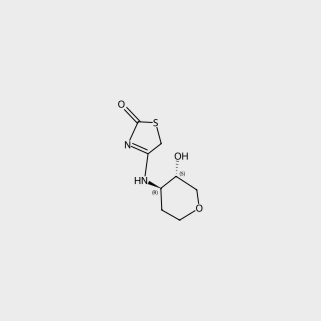 O=C1N=C(N[C@@H]2CCOC[C@H]2O)CS1